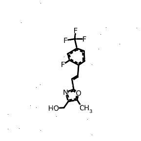 Cc1oc(C=Cc2ccc(C(F)(F)F)cc2F)nc1CO